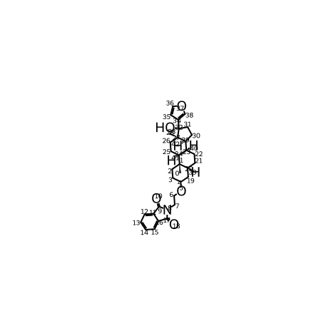 C[C@]12CC[C@H](OCCN3C(=O)c4ccccc4C3=O)C[C@H]1CC[C@@H]1[C@@H]2CC[C@@]2(C)[C@H]1CC[C@@]2(O)c1ccoc1